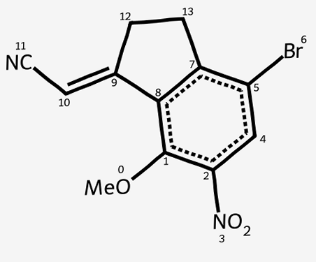 COc1c([N+](=O)[O-])cc(Br)c2c1C(=CC#N)CC2